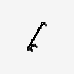 CCCCCC=CCC=CCCCCCCCC(N)CCCC